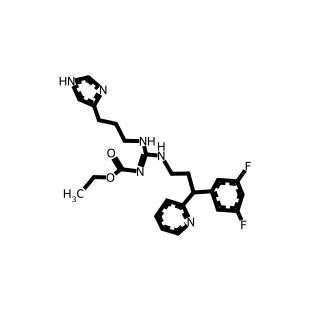 CCOC(=O)N=C(NCCCc1c[nH]cn1)NCCC(c1cc(F)cc(F)c1)c1ccccn1